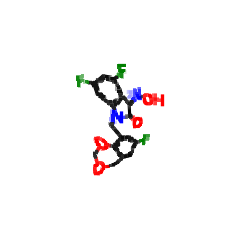 O=C1/C(=N\O)c2c(F)cc(F)cc2N1Cc1cc(F)cc2c1OCOC2